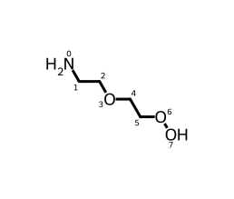 NCCOCCOO